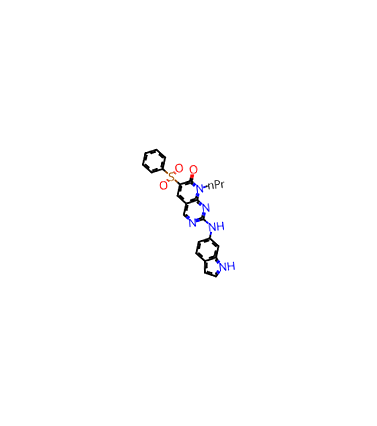 CCCn1c(=O)c(S(=O)(=O)c2ccccc2)cc2cnc(Nc3ccc4cc[nH]c4c3)nc21